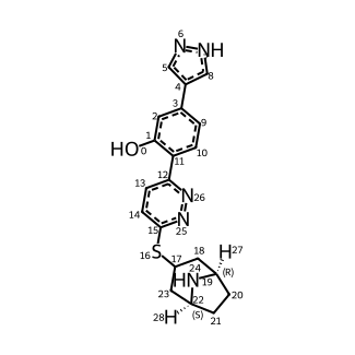 Oc1cc(-c2cn[nH]c2)ccc1-c1ccc(SC2C[C@H]3CC[C@@H](C2)N3)nn1